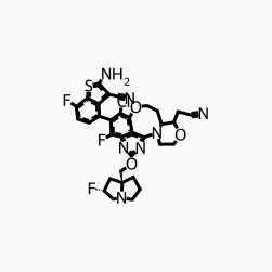 N#CCC1OCCN2c3nc(OC[C@@]45CCCN4C[C@H](F)C5)nc4c(F)c(-c5ccc(F)c6sc(N)c(C#N)c56)c(Cl)c(c34)OCCC12